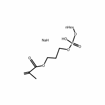 C=C(C)C(=O)OCCCOP(=O)(O)OCCCCCC.[NaH]